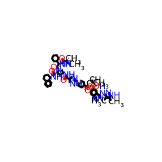 CN[C@@H](C)C(=O)N[C@H](C(=O)N1C[C@@H](NC(=O)c2cnc(N3CCC(COc4cc5ncnc(Nc6n[nH]c(C)c6C)c5cc4S(=O)(=O)C(C)(C)C)CC3)nc2)C[C@H]1C(=O)N[C@@H]1CCCc2ccccc21)C1CCCCC1